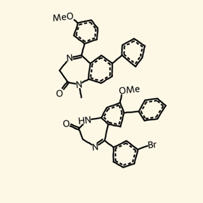 COc1cc2c(cc1-c1ccccc1)C(c1cccc(Br)c1)=NCC(=O)N2.COc1cccc(C2=NCC(=O)N(C)c3ccc(-c4ccccc4)cc32)c1